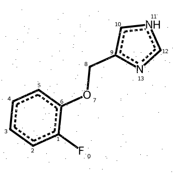 Fc1ccccc1OCc1c[nH]cn1